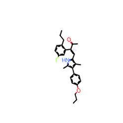 CCCOc1ccc(-c2c(C)[nH]c(/C=C(/C(C)=O)c3cc(F)ccc3CCC)c2C)cc1